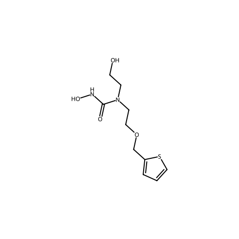 O=C(NO)N(CCO)CCOCc1cccs1